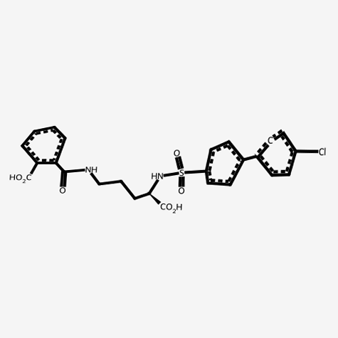 O=C(O)c1ccccc1C(=O)NCCC[C@@H](NS(=O)(=O)c1ccc(-c2ccc(Cl)cc2)cc1)C(=O)O